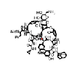 CN[C@H](CC(C)C)C(=O)N[C@H]1C(=O)N[C@@H](CC(=O)NC(=O)NC2CC2)C(=O)N[C@H]2C(=O)N[C@H]3C(=O)N[C@H](C(=O)N[C@H](C(=O)NC4C5CC6CC(C5)CC4C6)c4cc(O)cc(O)c4-c4cc3ccc4O)[C@H](O)c3ccc(c(Cl)c3)Oc3cc2cc(c3O[C@@H]2O[C@H](CN)[C@@H](O)[C@H](O)[C@H]2O)Oc2ccc(cc2C)[C@H]1O